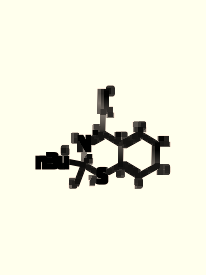 C#CC1=NC(C)(CCCC)Sc2ccccc21